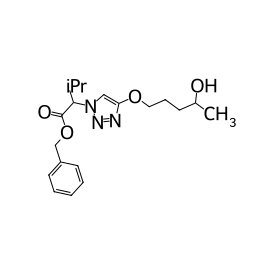 CC(O)CCCOc1cn(C(C(=O)OCc2ccccc2)C(C)C)nn1